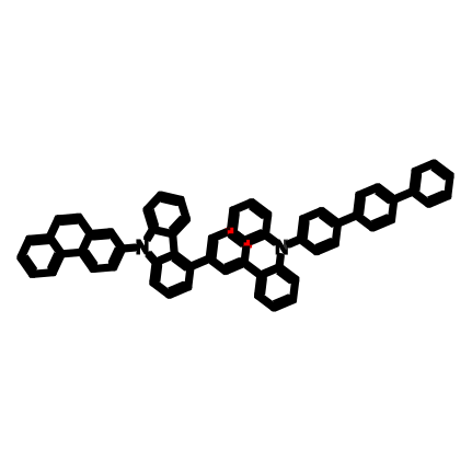 c1ccc(-c2ccc(-c3ccc(N(c4ccccc4)c4ccccc4-c4cccc(-c5cccc6c5c5ccccc5n6-c5ccc6c(ccc7ccccc76)c5)c4)cc3)cc2)cc1